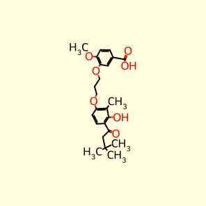 COc1ccc(C(=O)O)cc1OCCCOc1ccc(C(=O)CC(C)(C)C)c(O)c1C